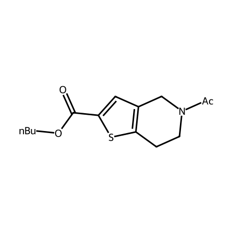 CCCCOC(=O)c1cc2c(s1)CCN(C(C)=O)C2